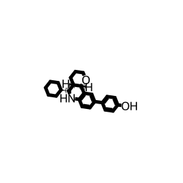 Oc1ccc(-c2ccc3c(c2)[C@H]2OCCC[C@H]2[C@@H](C2CCCCC2)N3)cc1